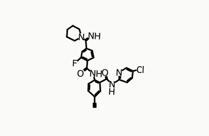 C#Cc1ccc(NC(=O)c2ccc(C(=N)N3CCCCC3)cc2F)c(C(=O)Nc2ccc(Cl)cn2)c1